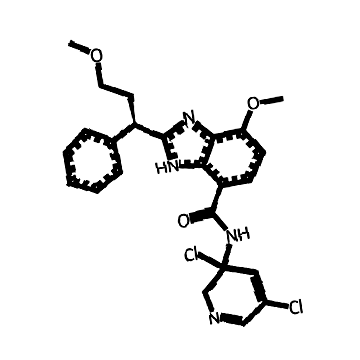 COCC[C@H](c1ccccc1)c1nc2c(OC)ccc(C(=O)NC3(Cl)C=C(Cl)C=NC3)c2[nH]1